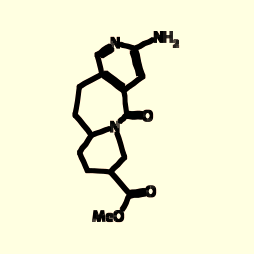 COC(=O)C1CCC2CCc3cnc(N)cc3C(=O)N2C1